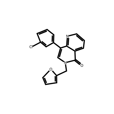 O=c1c2cccnc2c(-c2cccc(Cl)c2)cn1Cc1ccco1